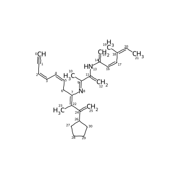 C#C/C=C\C=C/CC(/N=C(\C)C(=C)NC(=C)/C=C\C(C)=C/C)=C(\C)C(=C)C1CCCC1